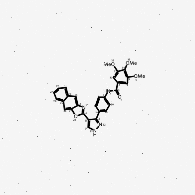 COc1cc(C(=O)Nc2ccc(-c3n[nH]cc3-c3nc4cc5ccccc5cc4o3)cc2)cc(OC)c1OC